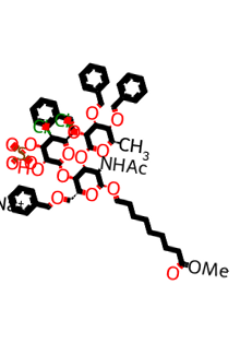 COC(=O)CCCCCCCCO[C@@H]1O[C@H](COCc2ccccc2)[C@@H](O[C@@H]2O[C@H](CCl)[C@H](Cl)[C@H](OS(=O)(=O)[O-])[C@H]2O)[C@H](O[C@@H]2O[C@@H](C)[C@@H](OCc3ccccc3)[C@@H](OCc3ccccc3)[C@@H]2OCc2ccccc2)[C@H]1NC(C)=O.[Na+]